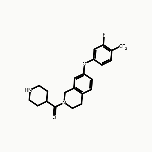 O=C(C1CCNCC1)N1CCc2ccc(Oc3ccc(C(F)(F)F)c(F)c3)cc2C1